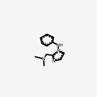 CN(C)Cc1nccn1Nc1ccccc1